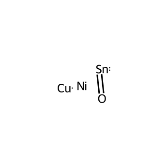 [Cu].[Ni].[O]=[Sn]